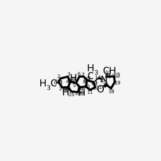 C[C@H]1CC[C@@H]2C3CC[C@@]4(C)C(CC[C@@H]4CN4C(=O)CCC[C@@H]4C)[C@@H]3CC[C@@H]2C1